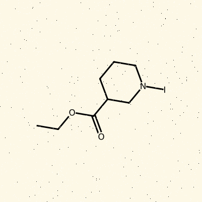 CCOC(=O)C1CCCN(I)C1